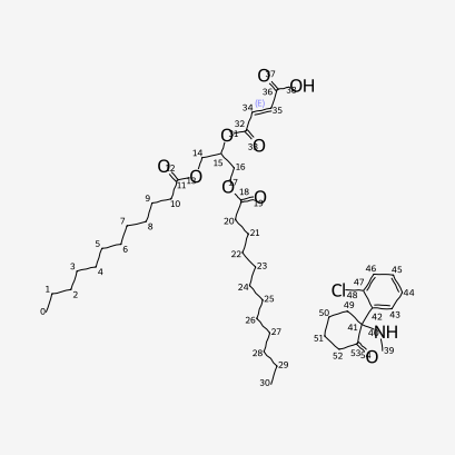 CCCCCCCCCCCC(=O)OCC(COC(=O)CCCCCCCCCCC)OC(=O)/C=C/C(=O)O.CNC1(c2ccccc2Cl)CCCCC1=O